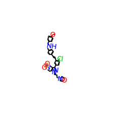 COc1ccc(CNCc2ccc(C#Cc3cc(-c4nn(CCCN5CCOCC5)c5c4CN(S(C)(=O)=O)CC5)ccc3Cl)cc2)cc1